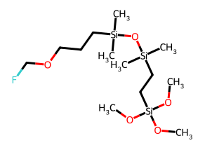 CO[Si](CC[Si](C)(C)O[Si](C)(C)CCCOCF)(OC)OC